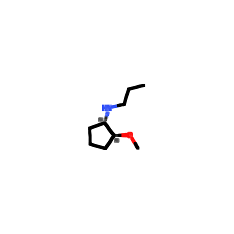 CCCN[C@H]1CCC[C@@H]1OC